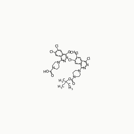 CC(C)(C)OC(=O)N1CCN(c2nnc(Cl)c3cc(Cl)c(Cl)cc23)CC1.COc1nnc(N2CCN(C(=O)O)CC2)c2cc(Cl)c(Cl)cc12